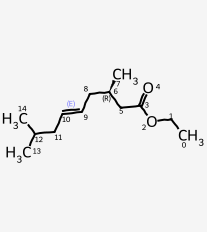 CCOC(=O)C[C@H](C)C/C=C/CC(C)C